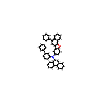 c1ccc(-c2cccc(N(c3ccc4oc5c6ccccc6c(-c6ccccc6)cc5c4c3)c3cc4ccccc4c4ccccc34)c2)cc1